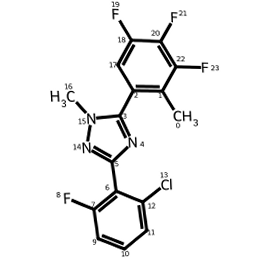 Cc1c(-c2nc(-c3c(F)cccc3Cl)nn2C)cc(F)c(F)c1F